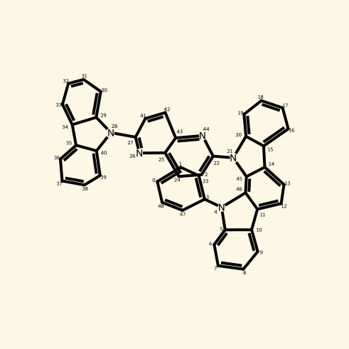 c1ccc(-n2c3ccccc3c3ccc4c5ccccc5n(-c5ccc6nc(-n7c8ccccc8c8ccccc87)ccc6n5)c4c32)cc1